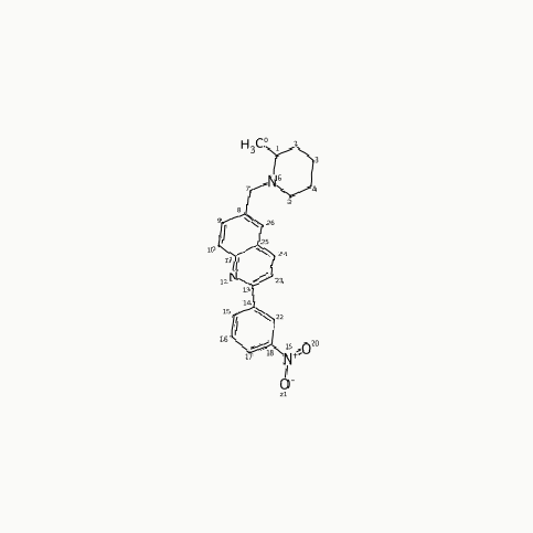 CC1CCCCN1Cc1ccc2nc(-c3cccc([N+](=O)[O-])c3)ccc2c1